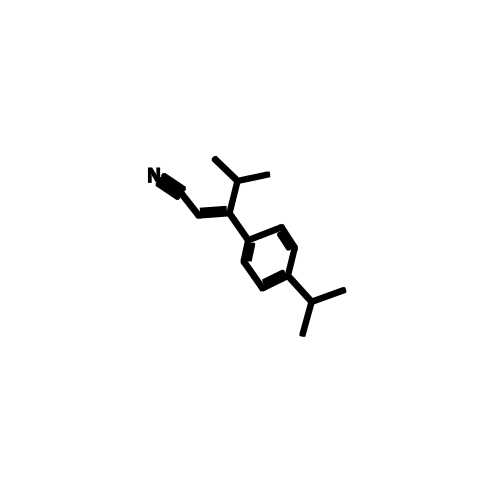 CC(C)C(=CC#N)c1ccc(C(C)C)cc1